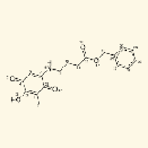 CC1=C(O)C(=O)C=C(NCCCC(=O)OCc2ccccc2)C1=O